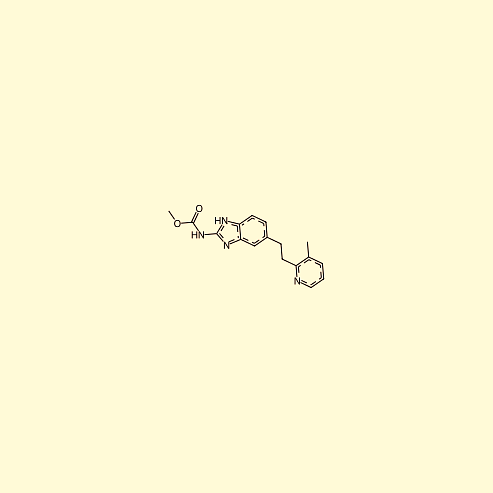 COC(=O)Nc1nc2cc(CCc3ncccc3C)ccc2[nH]1